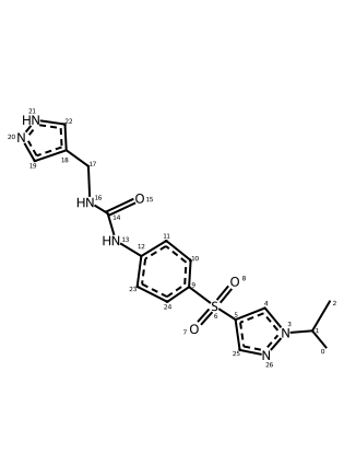 CC(C)n1cc(S(=O)(=O)c2ccc(NC(=O)NCc3cn[nH]c3)cc2)cn1